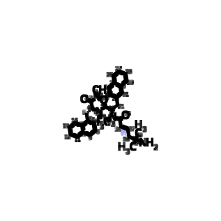 CNC(=O)[C@@H](Cc1cccc2ccccc12)N(C)C(=O)[C@@H](Cc1ccc2ccccc2c1)N(C)C(=O)/C=C/CC(C)(C)N